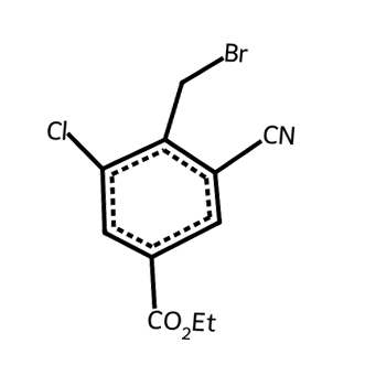 CCOC(=O)c1cc(Cl)c(CBr)c(C#N)c1